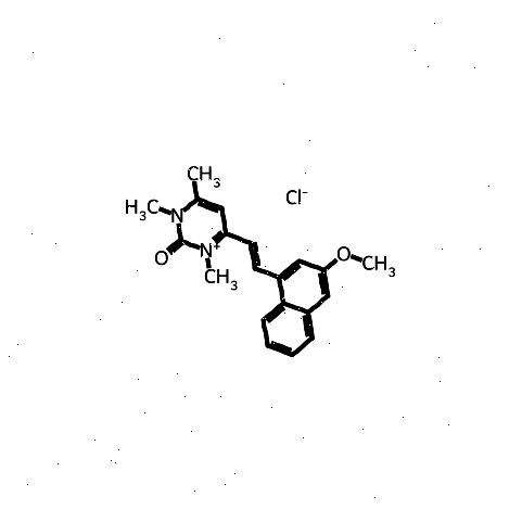 COc1cc(C=Cc2cc(C)n(C)c(=O)[n+]2C)c2ccccc2c1.[Cl-]